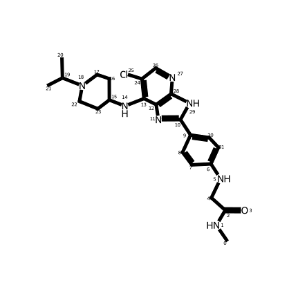 CNC(=O)CNc1ccc(-c2nc3c(NC4CCN(C(C)C)CC4)c(Cl)cnc3[nH]2)cc1